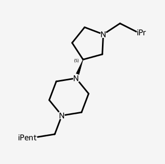 CCCC(C)CN1CCN([C@H]2CCN(CC(C)C)C2)CC1